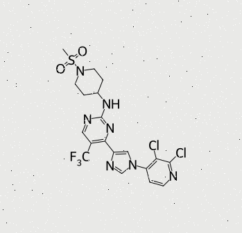 CS(=O)(=O)N1CCC(Nc2ncc(C(F)(F)F)c(-c3cn(-c4ccnc(Cl)c4Cl)cn3)n2)CC1